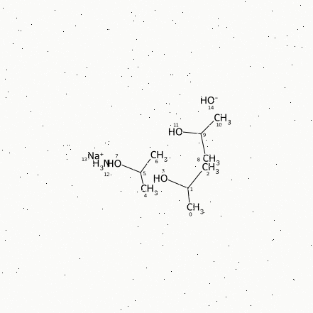 CC(C)O.CC(C)O.CC(C)O.N.[Na+].[OH-]